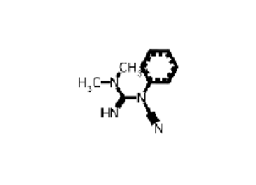 CN(C)C(=N)N(C#N)c1ccccc1